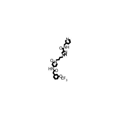 O=C(Cc1cccc(OC(F)(F)F)c1)Nc1ccn(CCCCn2cc(C(=O)NCc3cccnc3)nn2)c(=O)c1